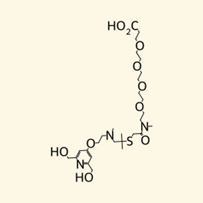 CN(CCOc1cc(CO)nc(CO)c1)CC(C)(C)SCC(=O)N(C)CCOCCOCCOCCOCCC(=O)O